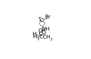 CC(C)(C)OC(=O)NC1CCc2scc(CBr)c2C1